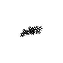 c1ccc(-c2sc3ccc(-c4c5ccccc5c(-c5ccc6oc7c(-c8ccccc8)cccc7c6c5)c5ccccc45)cc3c2-c2ccccc2)cc1